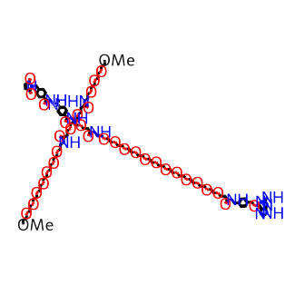 COCCOCCOCCOCCNC(=O)CCOCC(COCCC(=O)NCCOCCOCCOCCOCCOCCOCCOCCOC)(COCCC(=O)NCCOCCOCCOCCOCCOCCOCCOCCOCCOCCOCCOCCOCCC(=O)NCc1ccc(COc2nc(N)nc3[nH]cnc23)cc1)NC(=O)c1ccc(/C(C)=N/NC(=O)C2CCC(CN3C(=O)C=CC3=O)CC2)cc1